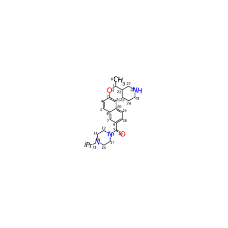 CC(Oc1ccc2cc(C(=O)N3CCN(C(C)C)CC3)ccc2c1)C1CCCNC1